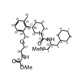 CNC[C@H](CC1CCCCC1)NC(=O)N1CCC[C@H](c2c(C)cccc2COCCNC(=O)OC)C1